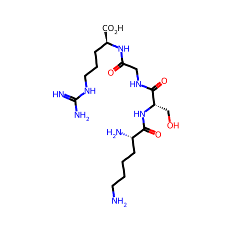 N=C(N)NCCC[C@H](NC(=O)CNC(=O)[C@H](CO)NC(=O)[C@@H](N)CCCCN)C(=O)O